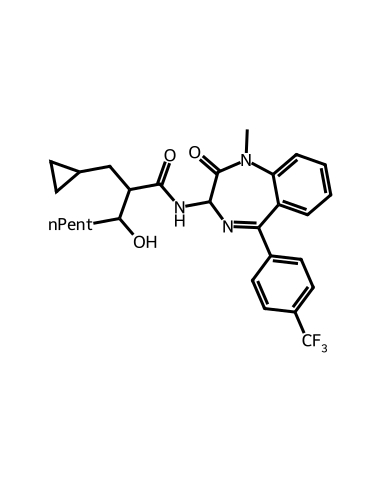 CCCCCC(O)C(CC1CC1)C(=O)NC1N=C(c2ccc(C(F)(F)F)cc2)c2ccccc2N(C)C1=O